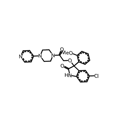 COc1ccccc1C1(OCC(=O)N2CCN(c3ccncc3)CC2)C(=O)Nc2ccc(Cl)cc21